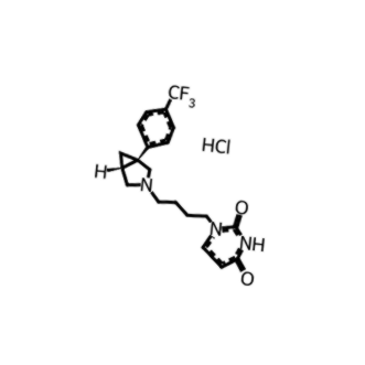 Cl.O=c1ccn(CCCCN2C[C@@H]3C[C@]3(c3ccc(C(F)(F)F)cc3)C2)c(=O)[nH]1